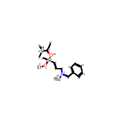 CCO[Si](C)(CCCN(Cc1ccccc1)C(C)(C)C)OC(C)[SiH](C)C